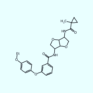 CCOc1ccc(Oc2cccc(C(=O)NC3COC4C(NC(=O)C5(C)CC5)COC34)c2)cc1